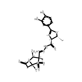 C[C@H]1OC(c2ccc(O)c(O)c2)=N[C@@H]1C(=O)N/N=C/[C@@]1(C)[C@H](C(=O)O)N2C(=O)C[C@H]2S1(=O)=O